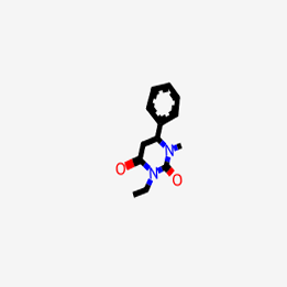 CCN1C(=O)CC(c2ccccc2)N(C)C1=O